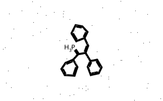 [PH3]=C(C(=Cc1ccccc1)c1ccccc1)c1ccccc1